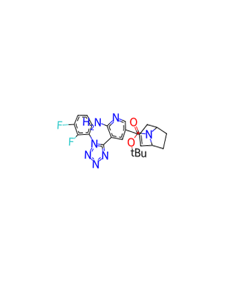 CC(C)(C)OC(=O)N1C2C=C(c3cnc(N)c(-c4nnnn4-c4cccc(F)c4F)c3)CC1CC2